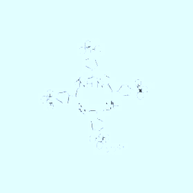 O=S(=O)([O-])c1ccc(-c2c3nc(c(-c4ccc(S(=O)(=O)[O-])cc4)c4ccc([nH]4)c(-c4ccc(S(=O)(=O)[O-])cc4)c4nc(c(-c5ccc(S(=O)(=O)[O-])cc5)c5ccc2[nH]5)C=C4)C=C3)cc1.[Sn+4]